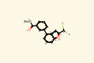 COC(=O)c1cccc(-c2cccc3oc(C(F)F)cc23)c1